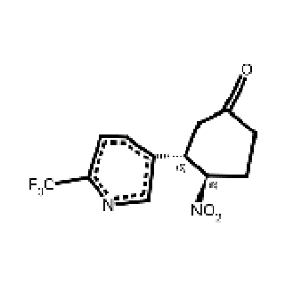 O=C1CC[C@@H]([N+](=O)[O-])[C@H](c2ccc(C(F)(F)F)nc2)C1